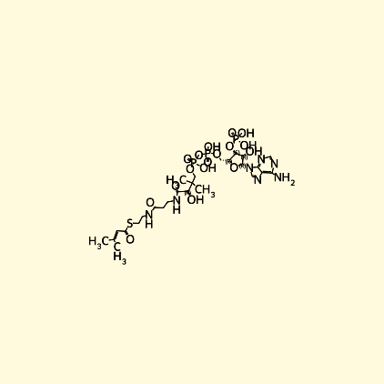 CC(C)=CC(=O)SCCNC(=O)CCNC(=O)[C@H](O)C(C)(C)COP(=O)(O)OP(=O)(O)OC[C@H]1O[C@@H](n2cnc3c(N)ncnc32)[C@H](O)[C@@H]1OP(=O)(O)O